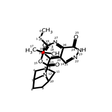 CSc1nc(N2CC3CCC(C2)N3C(=O)OC(C)(C)C)c2cn[nH]c(=O)c2n1